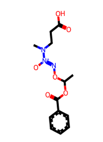 CC(O/N=[N+](\[O-])N(C)CCC(=O)O)OC(=O)c1ccccc1